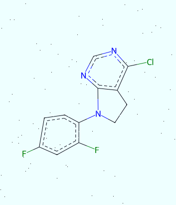 Fc1ccc(N2CCc3c(Cl)ncnc32)c(F)c1